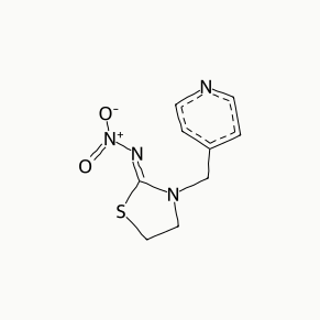 O=[N+]([O-])N=C1SCCN1Cc1ccncc1